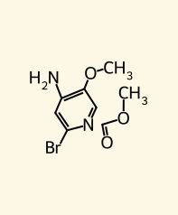 COC=O.COc1cnc(Br)cc1N